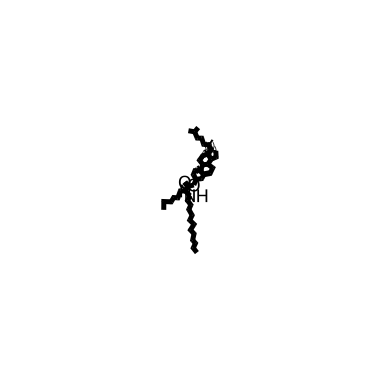 CCCCCCCCCCCCNN(CCCCCC)C(=O)OC1CC[C@@]2(C)C(=CCC3C2CC[C@@]2(C)C3CC[C@@H]2[C@H](C)CCCC(C)C)C1